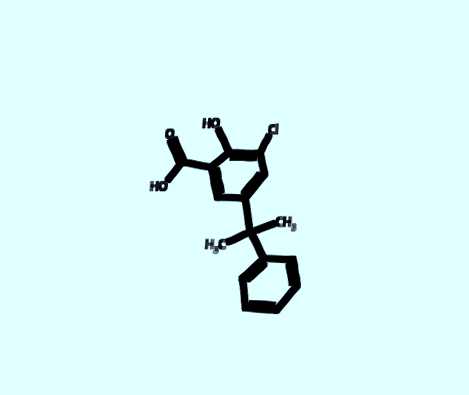 CC(C)(c1ccccc1)c1cc(Cl)c(O)c(C(=O)O)c1